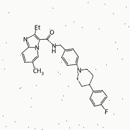 CCc1nc2ccc(C)cn2c1C(=O)NCc1ccc(N2CCC(c3ccc(F)cc3)CC2)cc1